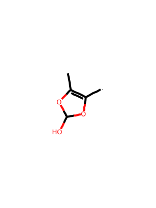 [CH2]C1=C(C)OC(O)O1